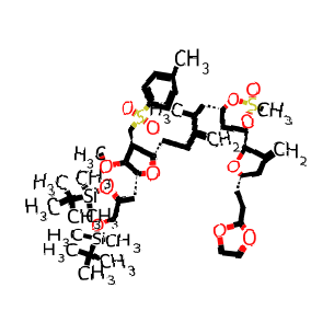 C=C(CC[C@@H]1O[C@H](CC(CO[Si](C)(C)C(C)(C)C)O[Si](C)(C)C(C)(C)C)C(OC)[C@H]1CS(=O)(=O)c1ccc(C)cc1)C(C)C[C@@H](CC[C@@H]1O[C@@H](CCC2OCCO2)CC1=C)OS(C)(=O)=O